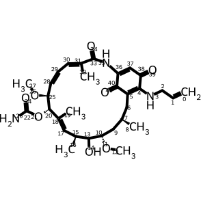 C=CCNC1=C2C[C@@H](C)C[C@H](OC)C(O)[C@@H](C)/C=C(\C)[C@H](OC(N)=O)[C@@H](OC)/C=C\C=C(/C)C(=O)NC(=CC1=O)C2=O